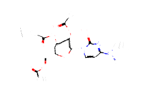 CC(=O)OC[C@H]1O[C@@H](n2ccc(N(C)C)nc2=O)[C@H](OC(C)=O)[C@@H]1OC(C)=O